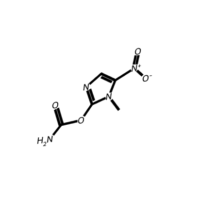 Cn1c([N+](=O)[O-])cnc1OC(N)=O